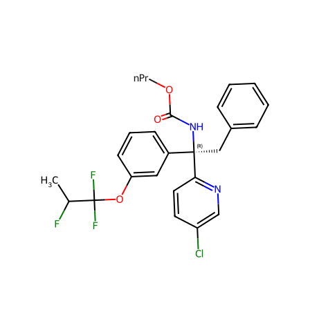 CCCOC(=O)N[C@](Cc1ccccc1)(c1cccc(OC(F)(F)C(C)F)c1)c1ccc(Cl)cn1